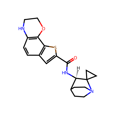 O=C(N[C@@H]1C2CCN(CC2)C12CC2)c1cc2ccc3c(c2s1)OCCN3